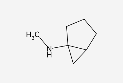 CNC12CCCC1C2